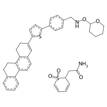 C1=C(c2ccc(-c3ccc(CNOC4CCCCO4)cc3)s2)CCc2c1ccc1c2CCc2ccccc2-1.NC(=O)CC1C=CC=CS1(=O)=O